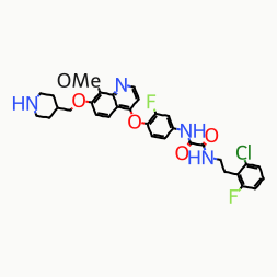 COc1c(OCC2CCNCC2)ccc2c(Oc3ccc(NC(=O)C(=O)NCCc4c(F)cccc4Cl)cc3F)ccnc12